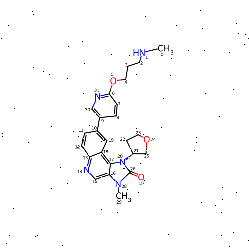 CNCCCOc1ccc(-c2ccc3ncc4c(c3c2)n([C@H]2CCOC2)c(=O)n4C)cn1